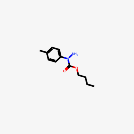 CCCCOC(=O)N(N)c1ccc(C)cc1